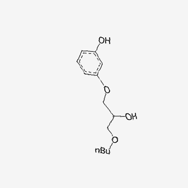 CCCCOCC(O)COc1cccc(O)c1